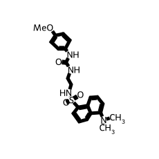 COc1ccc(NC(=O)NCCNS(=O)(=O)c2cccc3c(N(C)C)cccc23)cc1